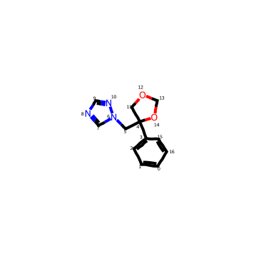 c1ccc(C2(Cn3cncn3)COCO2)cc1